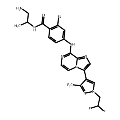 CCc1cc(Nc2nccn3c(-c4cn(CC(F)F)nc4C(F)(F)F)cnc23)ccc1C(=O)NC(C)CN